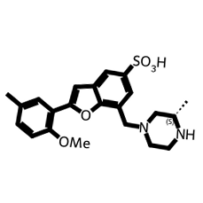 COc1ccc(C)cc1-c1cc2cc(S(=O)(=O)O)cc(CN3CCN[C@@H](C)C3)c2o1